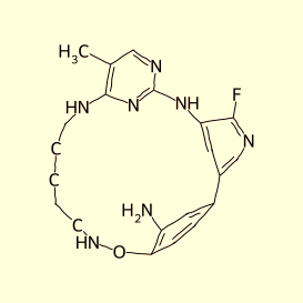 Cc1cnc2nc1NCCCCCNOc1ccc(cc1N)-c1cnc(F)c(c1)N2